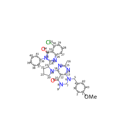 COc1ccc(CN2CN(C)C(=O)c3c2nc(C)nc3N2CCCC2c2nc3cccc(Cl)c3c(=O)n2-c2ccccc2)cc1